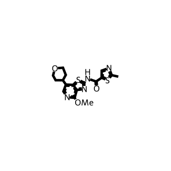 COc1ncc(C2CCOCC2)c2sc(NC(=O)c3cnc(C)s3)nc12